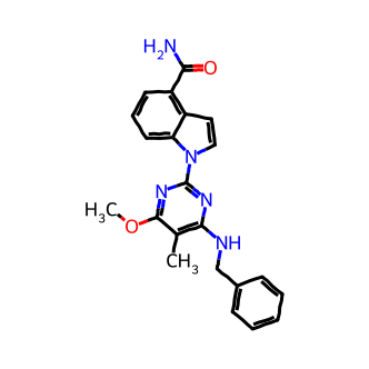 COc1nc(-n2ccc3c(C(N)=O)cccc32)nc(NCc2ccccc2)c1C